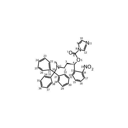 CN(CC[C@@H](OC(=O)n1ccnc1)c1ccccc1[N+](=O)[O-])C(c1ccccc1)(c1ccccc1)c1ccccc1